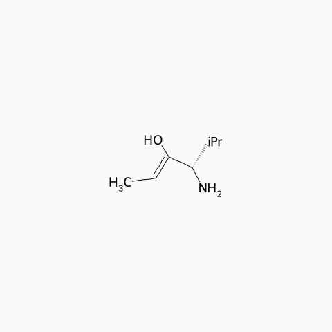 CC=C(O)[C@@H](N)C(C)C